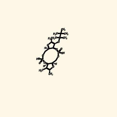 CC1[C@H](C)O[C@@H]2COP(=O)(S)OC3[C@@H](COP(=O)(S)O[C@H]12)O[C@@H](C)[C@H]3O[Si](C)(C)C(C)(C)C